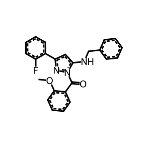 COc1ccccc1C(=O)n1nc(-c2ccccc2F)cc1NCc1ccccc1